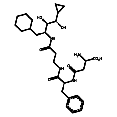 NC(CC(=O)N[C@@H](Cc1ccccc1)C(=O)NCCC(=O)N[C@@H](CC1CCCCC1)[C@@H](O)[C@@H](O)C1CC1)C(=O)O